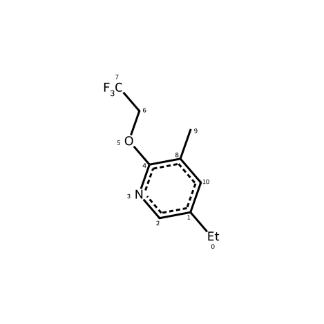 CCc1cnc(OCC(F)(F)F)c(C)c1